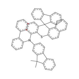 CC1(C)c2ccccc2-c2ccc(N(c3ccccc3-c3ccccc3)c3cccc4c3Sc3ccc5ccccc5c3C43c4ccccc4-c4ccccc43)cc21